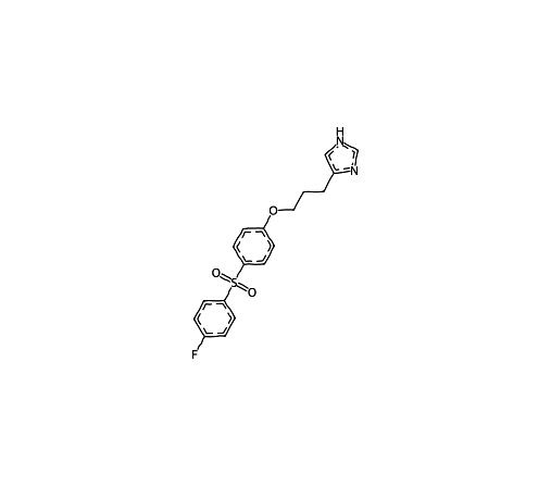 O=S(=O)(c1ccc(F)cc1)c1ccc(OCCCc2c[nH]cn2)cc1